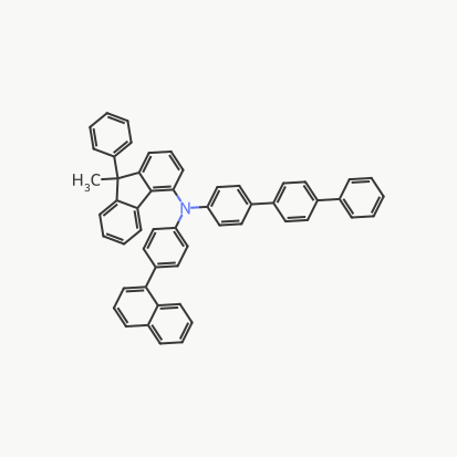 CC1(c2ccccc2)c2ccccc2-c2c(N(c3ccc(-c4ccc(-c5ccccc5)cc4)cc3)c3ccc(-c4cccc5ccccc45)cc3)cccc21